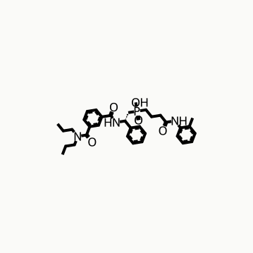 CCCN(CCC)C(=O)c1cccc(C(=O)N[C@H](CP(=O)(O)CCCC(=O)Nc2ccccc2C)c2ccccc2)c1